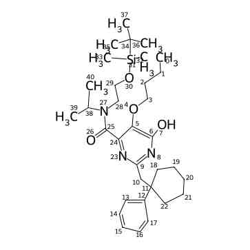 CCCCOc1c(O)nc(CC2(c3ccccc3)CCCCC2)nc1C(=O)N(CCO[Si](C)(C)C(C)(C)C)C(C)C